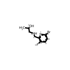 CC(O)CNCc1nc(Br)ccc1F